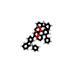 c1ccc(-c2ccccc2-c2c(-c3ccccc3)cccc2N(c2ccc(-c3ccc4c5ccccc5n(-c5ccccc5)c4c3)cc2)c2cccc3sc4ccccc4c23)cc1